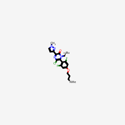 CC[C@H](C)Cn1c(-c2c(F)cc(OCCCNC)cc2F)c(Cl)nc(-c2ccn(C)n2)c1=O